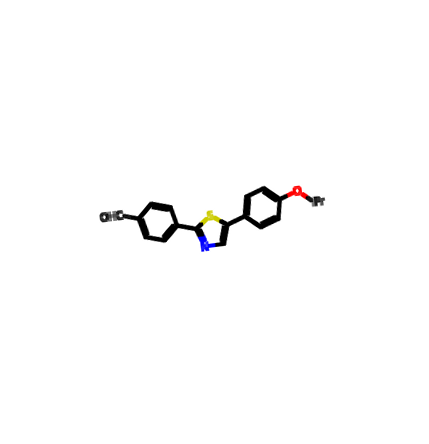 CC(C)Oc1ccc(-c2cnc(-c3ccc(C=O)cc3)s2)cc1